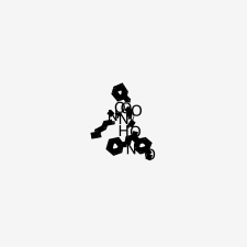 C=CCCCCN(C)C(=O)N[C@@H](CCOc1cc(-c2ccccc2)nc2cc(OC)ccc12)C(=O)OCc1ccccc1